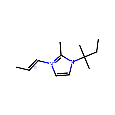 C/C=C/[n+]1ccn(C(C)(C)CC)c1C